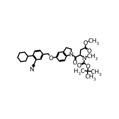 COC(=O)CC(C(=O)N1CCc2cc(OCc3ccc(C4CCCCC4)c(C#N)c3)ccc21)N(C)C(=O)OC(C)(C)C